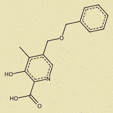 Cc1c(COCc2ccccc2)cnc(C(=O)O)c1O